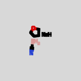 BC#N.C1CCOC1.[NaH]